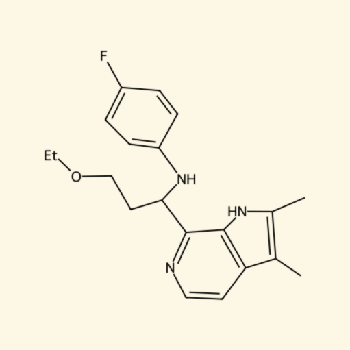 CCOCCC(Nc1ccc(F)cc1)c1nccc2c(C)c(C)[nH]c12